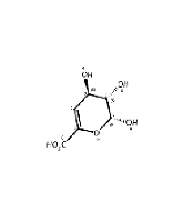 O=C(O)C1=C[C@@H](O)[C@H](O)[C@H](O)O1